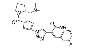 CN(C)C[C@H]1CCCN1C(=O)c1ccc(-n2cc(-c3cc4cc(F)ccc4[nH]c3=O)nn2)cc1